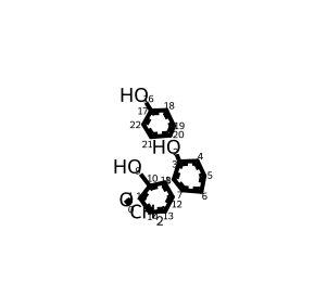 C=O.Oc1ccccc1.Oc1ccccc1.Oc1ccccc1